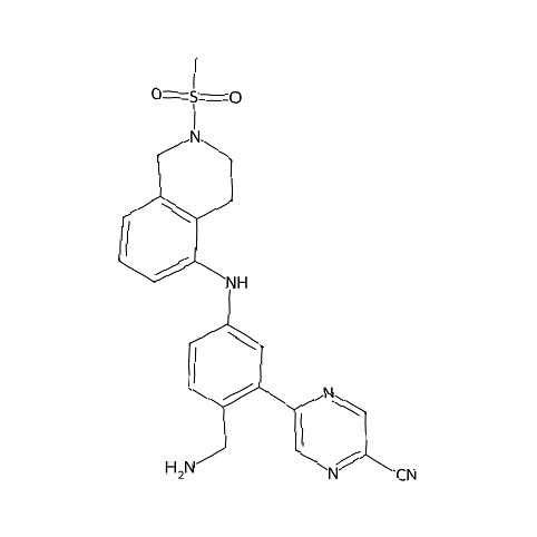 CS(=O)(=O)N1CCc2c(cccc2Nc2ccc(CN)c(-c3cnc(C#N)cn3)c2)C1